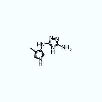 Cc1c[nH]cc1Nc1nnc(N)[nH]1